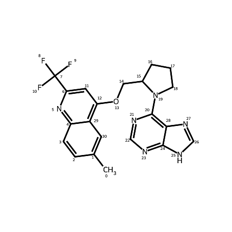 Cc1ccc2nc(C(F)(F)F)cc(OCC3CCCN3c3ncnc4[nH]cnc34)c2c1